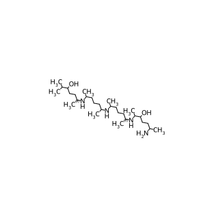 CC(N)CCC(O)C(C)N[C@H](C)CCCC(C)NC(C)CCCC(C)N[C@H](C)CCC(O)C(C)C